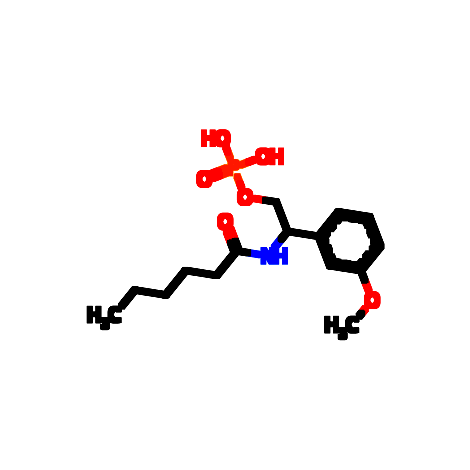 CCCCCC(=O)NC(COP(=O)(O)O)c1cccc(OC)c1